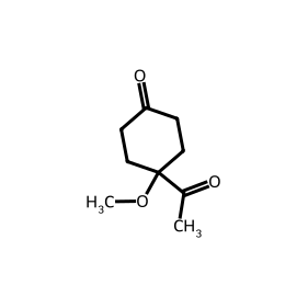 COC1(C(C)=O)CCC(=O)CC1